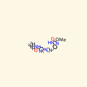 [2H]C([2H])([2H])NC(=O)c1ccc(N2CCN(Cc3ccc4nc(OC)c(=O)[nH]c4c3)CC2)c(C)n1